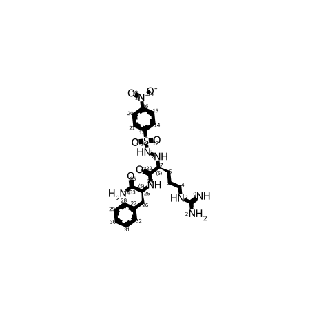 N=C(N)NCCC[C@H](NNS(=O)(=O)c1ccc([N+](=O)[O-])cc1)C(=O)N[C@@H](Cc1ccccc1)C(N)=O